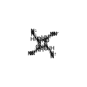 [N-]=[N+]=NCCCNC(=O)CN1CCN(CC(=O)NCCCN=[N+]=[N-])CCN(CC(=O)NCCCN=[N+]=[N-])CCN(CC(=O)NCCCN=[N+]=[N-])CC1